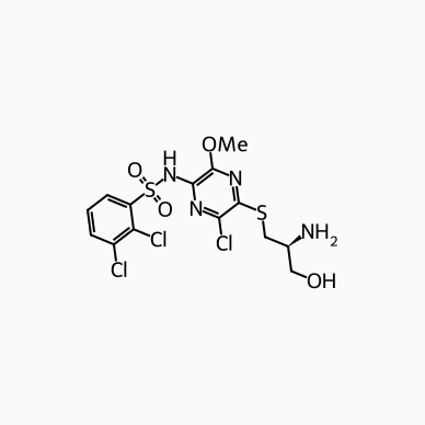 COc1nc(SC[C@@H](N)CO)c(Cl)nc1NS(=O)(=O)c1cccc(Cl)c1Cl